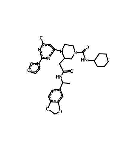 CC(NC(=O)CC1CN(C(=O)NC2CCCCC2)CCN1c1cc(Cl)nc(-n2ccnc2)n1)c1ccc2c(c1)OCO2